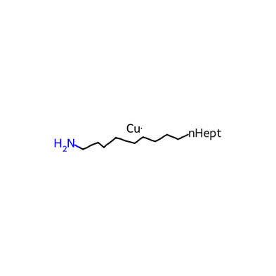 CCCCCCCCCCCCCCCCN.[Cu]